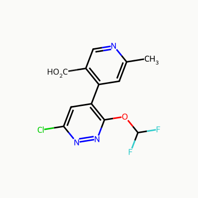 Cc1cc(-c2cc(Cl)nnc2OC(F)F)c(C(=O)O)cn1